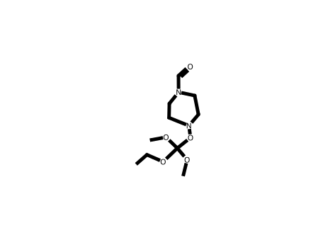 CCOC(OC)(OC)ON1CCN(C=O)CC1